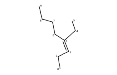 CCC=C(CC)CCCC